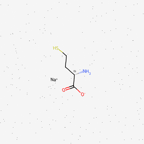 N[C@@H](CCS)C(=O)[O-].[Na+]